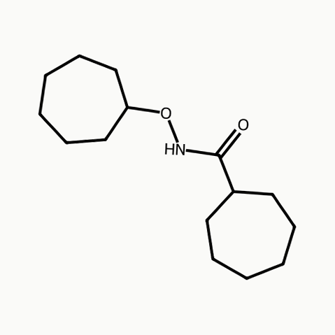 O=C(NOC1CCCCCC1)C1CCCCCC1